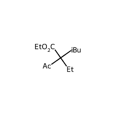 CCOC(=O)C(CC)(C(C)=O)C(C)CC